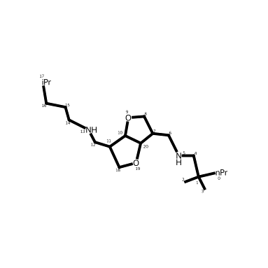 CCCC(C)(C)CNCC1COC2C(CNCCCC(C)C)COC12